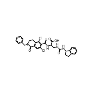 O=C(NCC(NC(=O)c1c(Cl)cc2c(c1Cl)CCN(Cc1ccccc1)C2=O)C(=O)O)NC1CCc2ccccc21